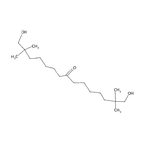 CC(C)(CO)CCCCCC(=O)CCCCCC(C)(C)CO